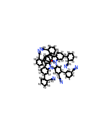 N#Cc1cccc(-c2cc(-n3c4cc(-c5ccccc5C#N)ccc4c4ccc(-c5ccccc5C#N)cc43)c(-n3c4cc(-c5ccccc5C#N)ccc4c4ccc(-c5ccccc5C#N)cc43)cc2C#N)c1